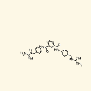 N=C(N)NCc1ccc(NC(=O)c2cc(C(=O)Nc3ccc(CNC(=N)N)cc3)ncn2)cc1